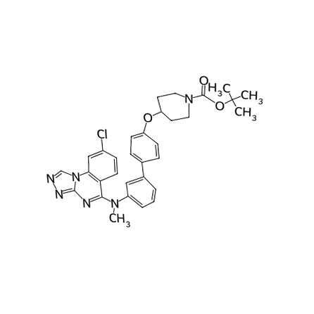 CN(c1cccc(-c2ccc(OC3CCN(C(=O)OC(C)(C)C)CC3)cc2)c1)c1nc2nncn2c2cc(Cl)ccc12